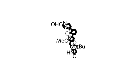 COc1nc(-c2cccc(-c3ccc4nc(C=O)cn4n3)c2Cl)ccc1CN(C[C@@H]1CCC(=O)N1)C(=O)OC(C)(C)C